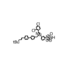 CC(C)(C)CC=Cc1ccc(-c2ccc(Cc3nc(-c4ccc(Cl)cc4Cl)cn3-c3cccc(N4CC(=O)NS4(=O)=O)c3)cc2)cc1